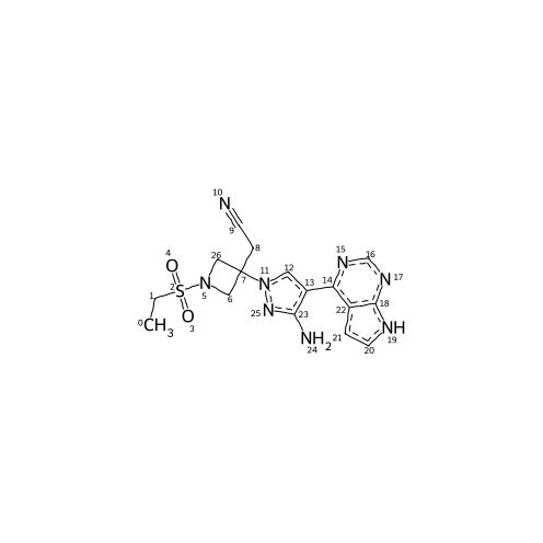 CCS(=O)(=O)N1CC(CC#N)(n2cc(-c3ncnc4[nH]ccc34)c(N)n2)C1